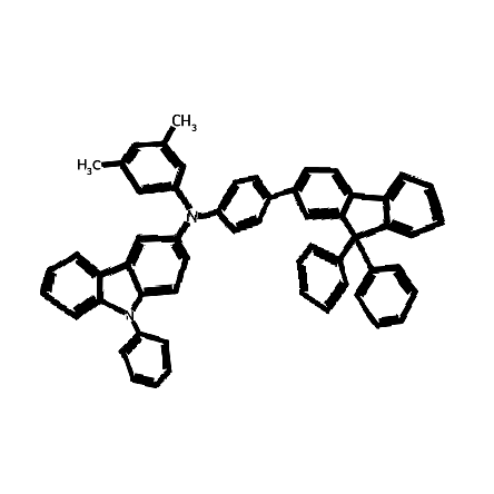 Cc1cc(C)cc(N(c2ccc(-c3ccc4c(c3)C(c3ccccc3)(c3ccccc3)c3ccccc3-4)cc2)c2ccc3c(c2)c2ccccc2n3-c2ccccc2)c1